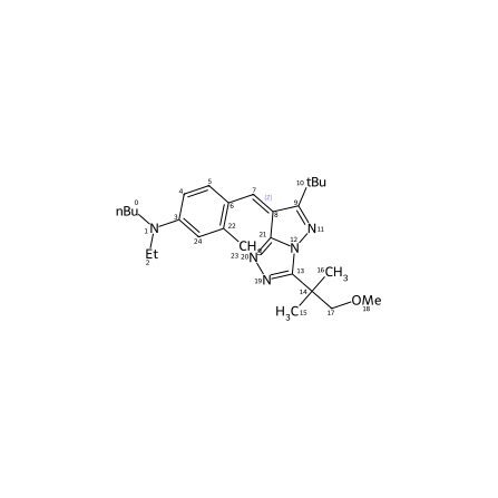 CCCCN(CC)c1ccc(/C=c2/c(C(C)(C)C)nn3c(C(C)(C)COC)nnc23)c(C)c1